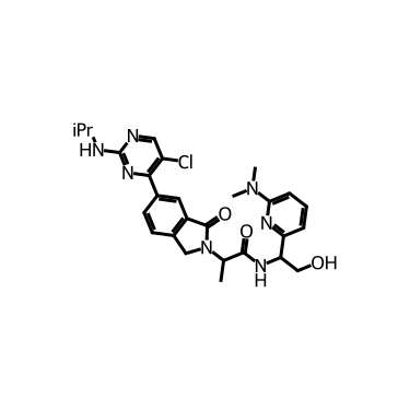 CC(C)Nc1ncc(Cl)c(-c2ccc3c(c2)C(=O)N(C(C)C(=O)NC(CO)c2cccc(N(C)C)n2)C3)n1